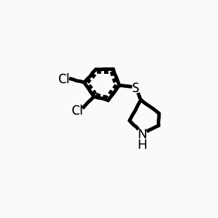 Clc1ccc(SC2CCNC2)cc1Cl